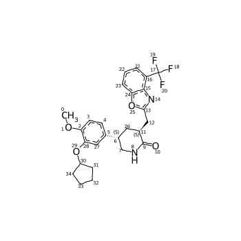 COc1ccc([C@H]2CNC(=O)[C@H](Cc3nc4c(C(F)(F)F)cccc4o3)C2)cc1OC1CCCC1